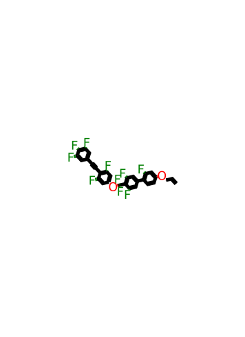 C=CCOc1ccc(-c2cc(F)c(C(F)(F)Oc3cc(F)c(C#Cc4cc(F)c(F)c(F)c4)c(F)c3)c(F)c2)c(F)c1